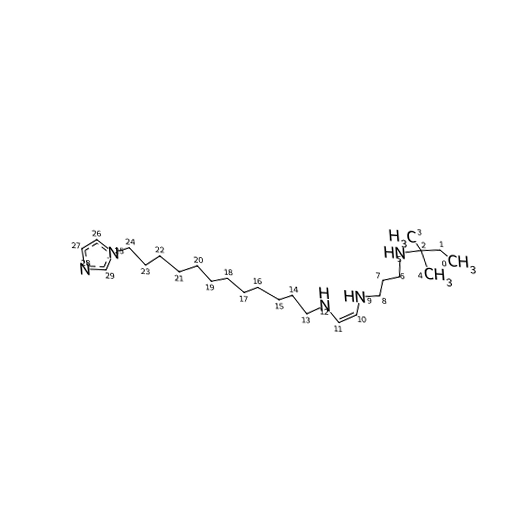 CCC(C)(C)NCCCN/C=C\NCCCCCCCCCCCCn1ccnc1